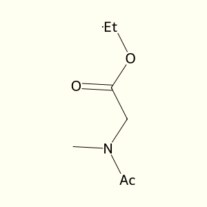 C[CH]OC(=O)CN(C)C(C)=O